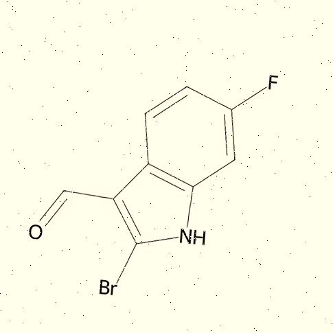 O=Cc1c(Br)[nH]c2cc(F)ccc12